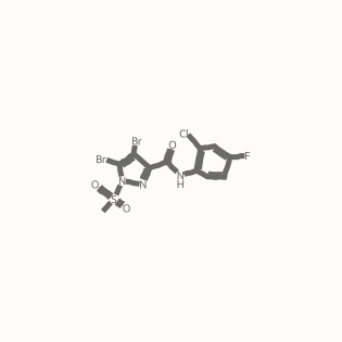 CS(=O)(=O)n1nc(C(=O)Nc2ccc(F)cc2Cl)c(Br)c1Br